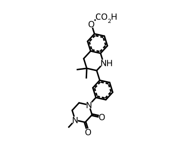 CN1CCN(c2cccc(C3Nc4ccc(OC(=O)O)cc4CC3(C)C)c2)C(=O)C1=O